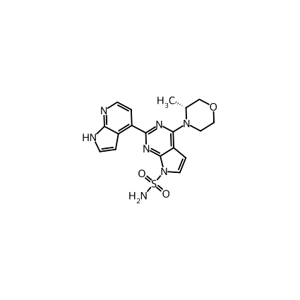 C[C@@H]1COCCN1c1nc(-c2ccnc3[nH]ccc23)nc2c1ccn2S(N)(=O)=O